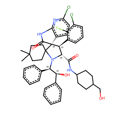 CC1(C)CCC2(CC1)N([C@H](c1ccccc1)[C@@H](O)c1ccccc1)[C@@H](C(=O)NC1CCC(CO)CC1)[C@H](c1cccc(Cl)c1F)[C@]21C(=O)Nc2nc(Cl)ccc21